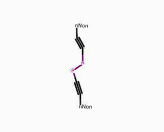 CCCCCCCCCC#C[P][P]C#CCCCCCCCCC